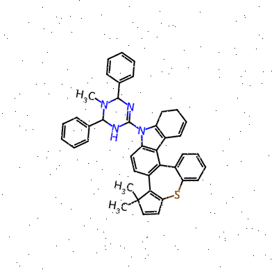 CN1C(c2ccccc2)N=C(n2c3c(c4c5c(ccc42)C2=C(C=CC2(C)C)Sc2ccccc2-5)C=CCC3)NC1c1ccccc1